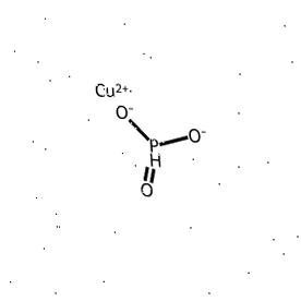 O=[PH]([O-])[O-].[Cu+2]